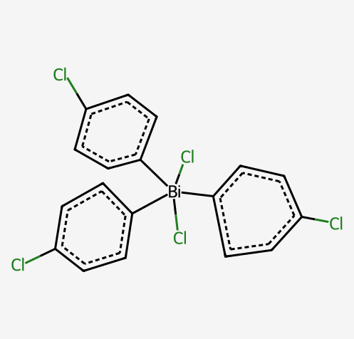 Clc1cc[c]([Bi]([Cl])([Cl])([c]2ccc(Cl)cc2)[c]2ccc(Cl)cc2)cc1